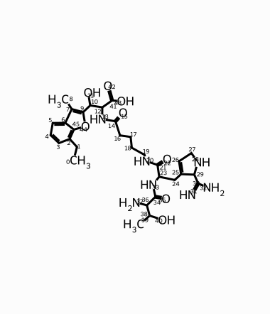 CCc1cccc2c(C)c(C(O)C(NC(=O)CCCCNC(=O)C(CC3=CCNC3C(=N)N)NC(=O)C(N)C(C)O)C(=O)O)oc12